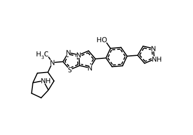 CN(c1nn2cc(-c3ccc(-c4cn[nH]c4)cc3O)nc2s1)C1CC2CCC(C1)N2